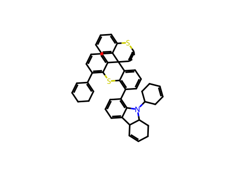 C1=CC(c2cccc3c2Sc2c(-c4cccc5c4N(C4CC=CCC4)C4CCC=CC54)cccc2C32c3ccccc3Sc3ccccc32)=CCC1